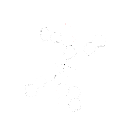 CC(C)(c1cc(-c2ccc3ccccc3c2)c(OCCO)c(-c2ccc3ccccc3c2)c1)c1cc(-c2ccc3ccccc3c2)c(OCCO)c(-c2ccc3ccccc3c2)c1